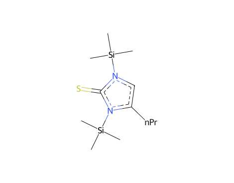 CCCc1cn([Si](C)(C)C)c(=S)n1[Si](C)(C)C